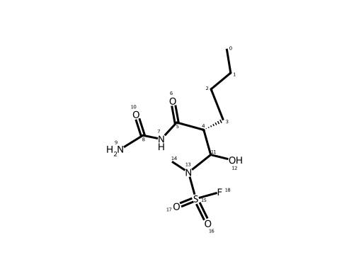 CCCC[C@@H](C(=O)NC(N)=O)C(O)N(C)S(=O)(=O)F